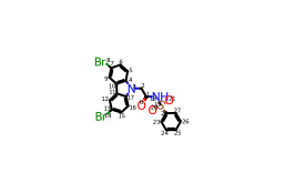 O=C(Cn1c2ccc(Br)cc2c2cc(Br)ccc21)NS(=O)(=O)c1ccccc1